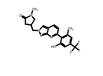 Cc1cc(C(F)(F)F)cc(O)c1-c1ccc2cn(CC3CC(=O)N(C)C3)nc2n1